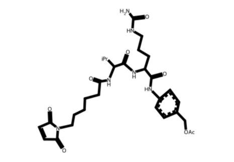 CC(=O)OCc1ccc(NC(=O)C(CCCNC(N)=O)NC(=O)C(NC(=O)CCCCCN2C(=O)C=CC2=O)C(C)C)cc1